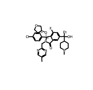 CCC(O)(c1cc(F)c2c(c1)C(=O)N(Cc1ncc(C)cn1)[C@@]2(O[C@H]1CCOC1)c1ccc(Cl)cc1)C1CCN(C)CC1